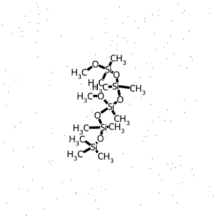 CO[Si](C)(C)O[Si](C)(C)O[Si](C)(OC)O[Si](C)(C)O[Si](C)(C)C